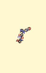 COc1cc(-c2nc(C3CCN(C4CCOCC4)CC3)n3ccnc(C)c23)ccc1NC(=O)c1cc2c(OC)cccc2n1C